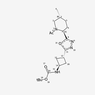 CC(=O)N1C[C@H](C)CC[C@H]1c1nnc([C@H]2C[C@H](NC(=O)OC(C)(C)C)C2)o1